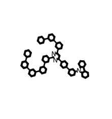 c1ccc(-c2cccc(-c3cccc(-c4cccc(-c5cccc(-c6nc(-c7ccc(-c8cccc(-n9c%10ccccc%10c%10ccccc%109)c8)cc7)cc(-c7cccc(-c8cccc(-c9ccccc9)c8)c7)n6)c5)c4)c3)c2)cc1